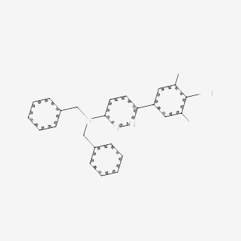 Oc1c(Cl)cc(-c2ccc(N(Cc3ccccc3)Cc3ccccc3)nn2)cc1Cl